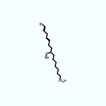 CCC=CCC=CCCC(CCCCCCCC(=O)O)OO